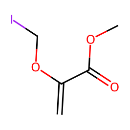 C=C(OCI)C(=O)OC